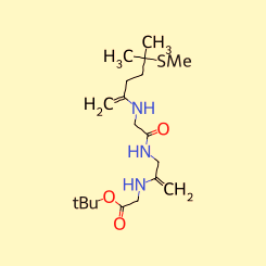 C=C(CCC(C)(C)SC)NCC(=O)NCC(=C)NCC(=O)OC(C)(C)C